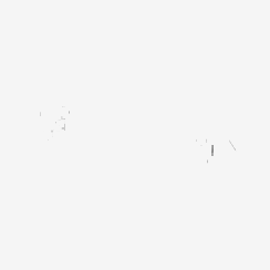 C=C(C)C(=O)OCCCCCCCCCCC[Si](OC)(OC)OC